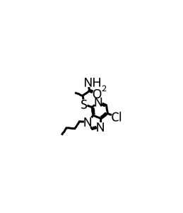 CCCCn1cnc2c(Cl)cnc(SC(C)C(N)=O)c21